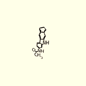 CC(=O)Nc1ccc2c(c1)[nH]c1cc3ccccc3cc12